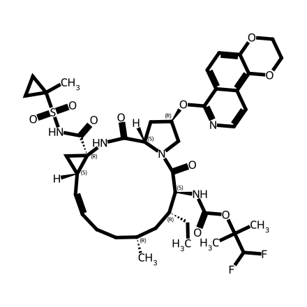 CC[C@@H]1C[C@H](C)CCC=C[C@@H]2C[C@@]2(C(=O)NS(=O)(=O)C2(C)CC2)NC(=O)[C@@H]2C[C@@H](Oc3nccc4c5c(ccc34)OCCO5)CN2C(=O)[C@H]1NC(=O)OC(C)(C)C(F)F